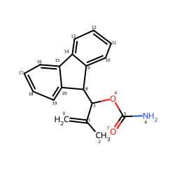 C=C(C)C(OC(N)=O)C1c2ccccc2-c2ccccc21